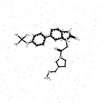 COC[C@@H]1CCN(C(=O)Cn2c(=O)oc3ccc(-c4ccc(OC(F)(F)F)cc4)cc32)C1